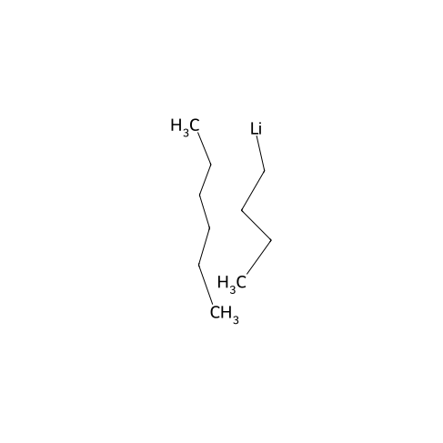 CCCCCC.[Li][CH2]CCC